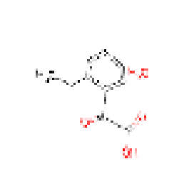 CCc1ccccc1C(=O)C(=O)O.O